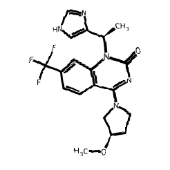 CO[C@@H]1CCN(c2nc(=O)n([C@H](C)c3c[nH]cn3)c3cc(C(F)(F)F)ccc23)C1